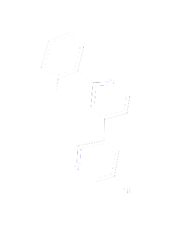 Nc1cncc(-c2ccnc(-c3ccccc3F)c2)c1